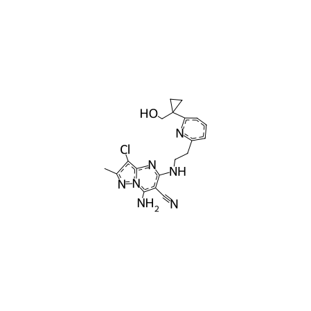 Cc1nn2c(N)c(C#N)c(NCCc3cccc(C4(CO)CC4)n3)nc2c1Cl